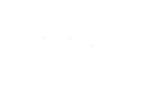 Cc1cccc(C)c1NC(=O)CN1CCN(C(=O)OCc2ccccc2)CC1=O